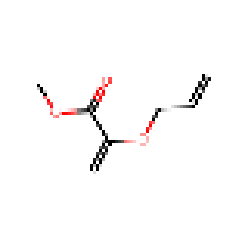 C=CCOC(=C)C(=O)OC